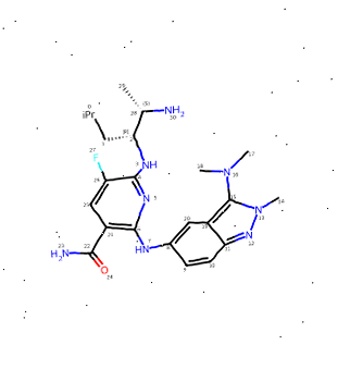 CC(C)C[C@@H](Nc1nc(Nc2ccc3nn(C)c(N(C)C)c3c2)c(C(N)=O)cc1F)[C@H](C)N